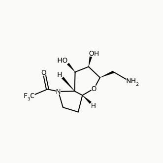 NC[C@H]1O[C@@H]2CCN(C(=O)C(F)(F)F)[C@@H]2[C@@H](O)[C@H]1O